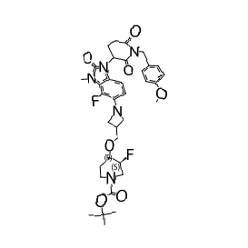 COc1ccc(CN2C(=O)CCC(n3c(=O)n(C)c4c(F)c(N5CC(CO[C@@H]6CCN(C(=O)OC(C)(C)C)C[C@@H]6F)C5)ccc43)C2=O)cc1